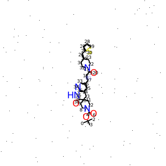 CC(C)(C)OC(=O)N1CCC2(CC1)Cc1cc(/C=C/C(=O)N3CCC(=Cc4cccs4)CC3)cnc1NC2=O